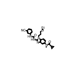 CCOCCCn1c(NC(=O)Nc2cccc(C#N)c2)nc2cc(N(C)C(=O)C3CC3)ccc21